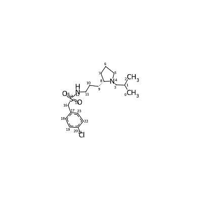 CC(C)CN1CCC[C@H]1CCCNS(=O)(=O)Cc1ccc(Cl)cc1